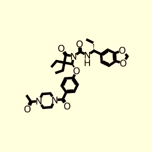 CC[C@@H](NC(=O)N1C(=O)C(CC)(CC)[C@@H]1Oc1ccc(C(=O)N2CCN(C(C)=O)CC2)cc1)c1ccc2c(c1)OCO2